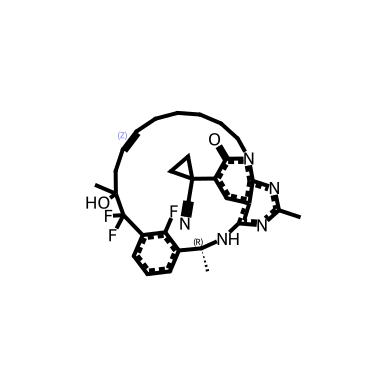 Cc1nc2c3cc(C4(C#N)CC4)c(=O)n(c3n1)CCCCC/C=C\CC(C)(O)C(F)(F)c1cccc(c1F)[C@@H](C)N2